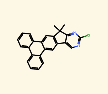 CC1(C)c2cc3c4ccccc4c4ccccc4c3cc2-c2cnc(Cl)nc21